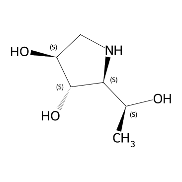 C[C@H](O)[C@@H]1NC[C@H](O)[C@H]1O